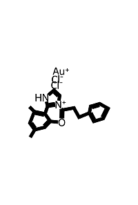 Cc1cc(C)c(-c2[nH]cc[n+]2C(=O)CCc2ccccc2)c(C)c1.[Au+].[Cl-].[Cl-]